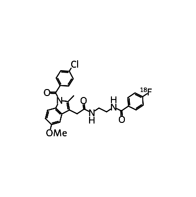 COc1ccc2c(c1)c(CC(=O)NCCNC(=O)c1ccc([18F])cc1)c(C)n2C(=O)c1ccc(Cl)cc1